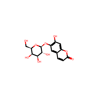 O=c1ccc2cc(O[C@@H]3O[C@H](CO)[C@H](O)[C@H](O)[C@H]3O)c(O)cc2o1